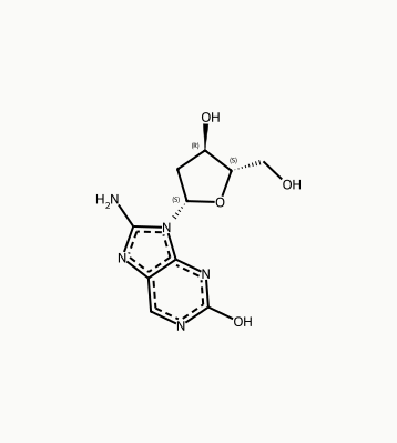 Nc1nc2cnc(O)nc2n1[C@@H]1C[C@@H](O)[C@H](CO)O1